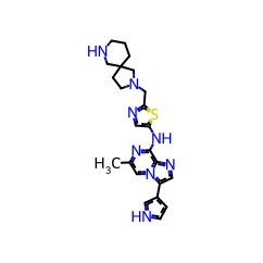 Cc1cn2c(-c3cc[nH]c3)cnc2c(Nc2cnc(CN3CCC4(CCCNC4)C3)s2)n1